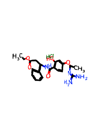 CCOC(=O)CC(NC(=O)c1ccc(OC(C)N=C(N)N)cc1O)c1ccccc1.Cl